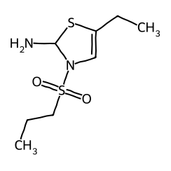 CCCS(=O)(=O)N1C=C(CC)SC1N